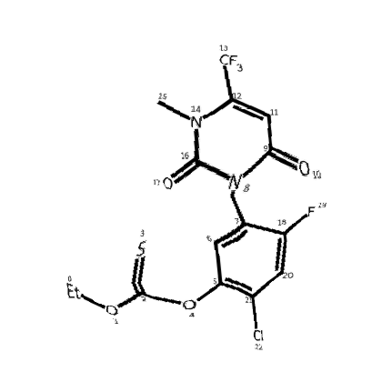 CCOC(=S)Oc1cc(-n2c(=O)cc(C(F)(F)F)n(C)c2=O)c(F)cc1Cl